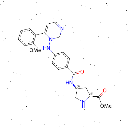 COC(=O)[C@@H]1C[C@H](NC(=O)c2ccc(NN3CN=CC=C3c3ccccc3OC)cc2)CN1